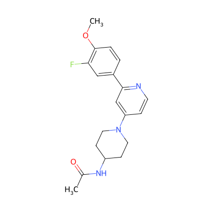 COc1ccc(-c2cc(N3CCC(NC(C)=O)CC3)ccn2)cc1F